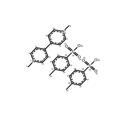 C[n+]1ccc(-c2cc[n+](C)cc2)cc1.Cc1ccc(S(=O)(=O)[O-])cc1.Cc1ccc(S(=O)(=O)[O-])cc1